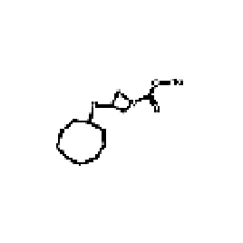 CC(C)(C)OC(=O)N1CC(OC2CCCCCCCC2)C1